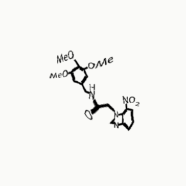 COc1cc(CNC(=O)Cn2cnc3cccc([N+](=O)[O-])c32)cc(OC)c1OC